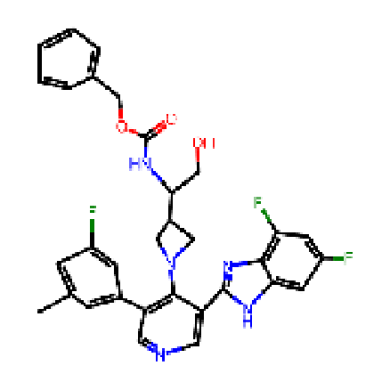 Cc1cc(F)cc(-c2cncc(-c3nc4c(F)cc(F)cc4[nH]3)c2N2CC(C(CO)NC(=O)OCc3ccccc3)C2)c1